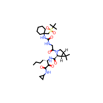 CCCC[C@H](NC(=O)[C@@H]1[C@@H]2[C@H](CN1C(=O)CNC(=O)NC1(CS(=O)(=O)C(C)(C)C)CCCCC1)C2(C)C)C(=O)C(=O)NC1CC1